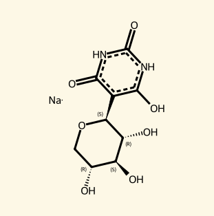 O=c1[nH]c(O)c([C@@H]2OC[C@@H](O)[C@H](O)[C@H]2O)c(=O)[nH]1.[Na]